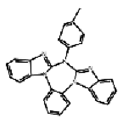 Cc1ccc(-n2c3nc4ccccc4n3c3ccccc3n3c4ccccc4nc23)cc1